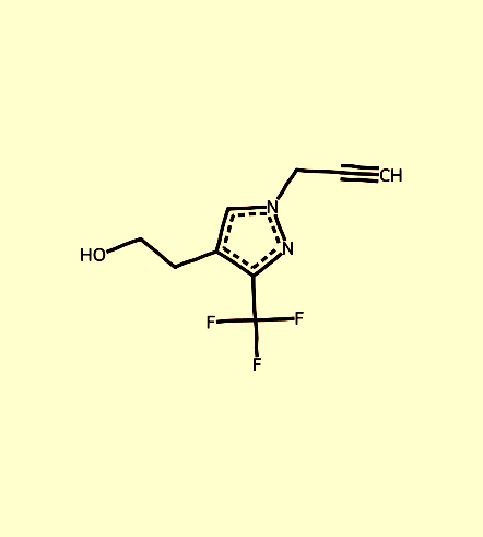 C#CCn1cc(CCO)c(C(F)(F)F)n1